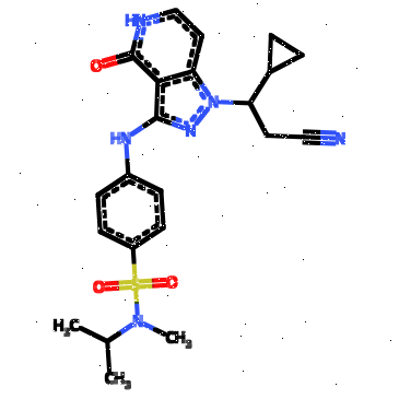 CC(C)N(C)S(=O)(=O)c1ccc(Nc2nn(C(CC#N)C3CC3)c3cc[nH]c(=O)c23)cc1